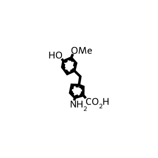 COc1cc(Cc2ccc(N)c(C(=O)O)c2)ccc1O